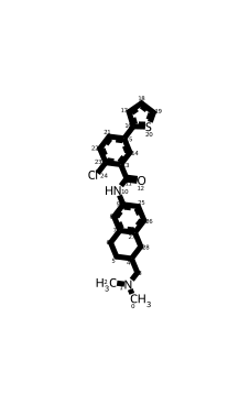 CN(C)CC1CCc2cc(NC(=O)c3cc(-c4cccs4)ccc3Cl)ccc2C1